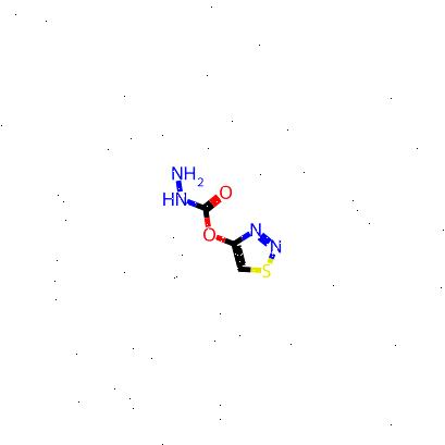 NNC(=O)Oc1csnn1